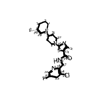 C[C@@H]1CCCN(C2CCN(c3ncc(C(=O)NCc4ncc(F)cc4Cl)s3)CC2)C1